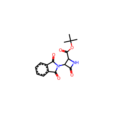 CC(C)(C)OC(=O)C1NC(=O)C1N1C(=O)c2ccccc2C1=O